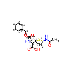 CC(=O)NCSC(C)(C)C(NC(=O)OCc1ccccc1)C(=O)O